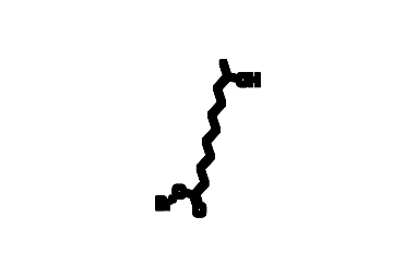 CC(O)CCCCCCCCC(=O)OBr